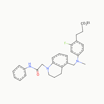 CCOC(=O)CCc1ccc(N(C)Cc2cccc3c2CCCN3CC(=O)Nc2ccccc2)cc1F